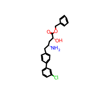 N[C@H](Cc1ccc(-c2cccc(Cl)c2)cc1)C[C@@H](O)C(=O)OCc1ccccc1